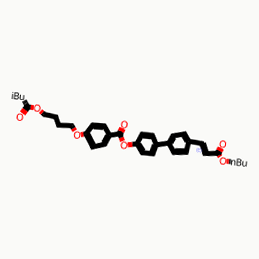 CCCCOC(=O)/C=C/c1ccc(-c2ccc(OC(=O)c3ccc(OCCCCOC(=O)C(C)CC)cc3)cc2)cc1